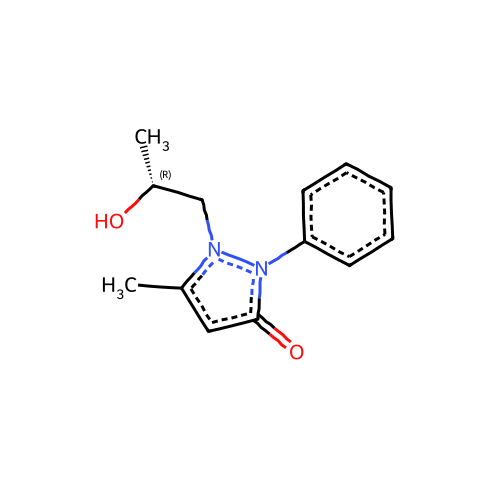 Cc1cc(=O)n(-c2ccccc2)n1C[C@@H](C)O